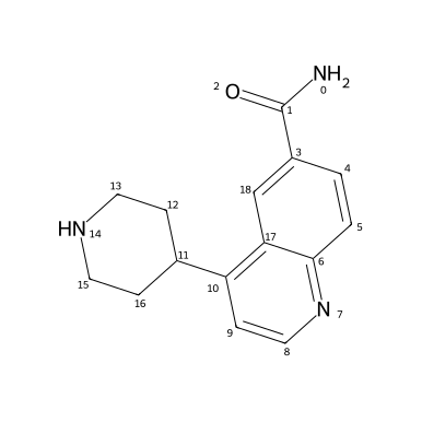 NC(=O)c1ccc2nccc(C3CCNCC3)c2c1